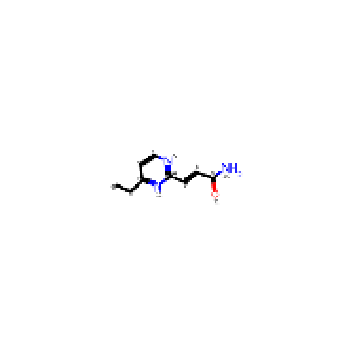 CCc1ccnc(/C=C/C(N)=O)n1